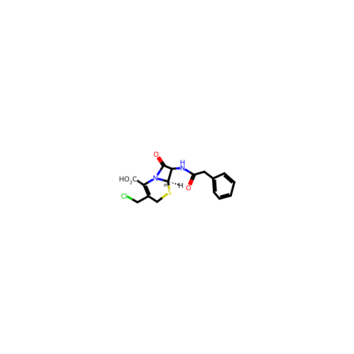 O=C(Cc1ccccc1)NC1C(=O)N2C(C(=O)O)=C(CCl)CS[C@H]12